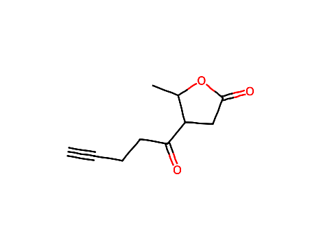 C#CCCC(=O)C1CC(=O)OC1C